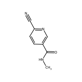 CNC(=O)c1ccc(C#N)nc1